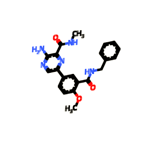 CNC(=O)c1nc(-c2ccc(OC)c(C(=O)NCc3ccccc3)c2)cnc1N